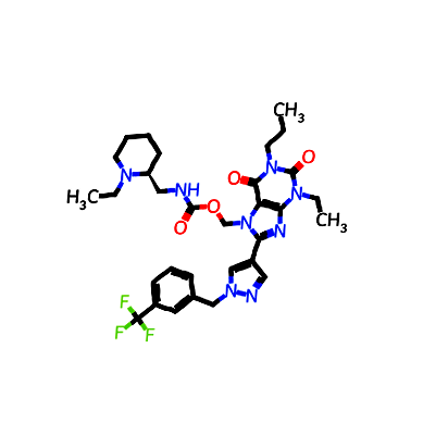 CCCn1c(=O)c2c(nc(-c3cnn(Cc4cccc(C(F)(F)F)c4)c3)n2COC(=O)NC[C@@H]2CCCCN2CC)n(CC)c1=O